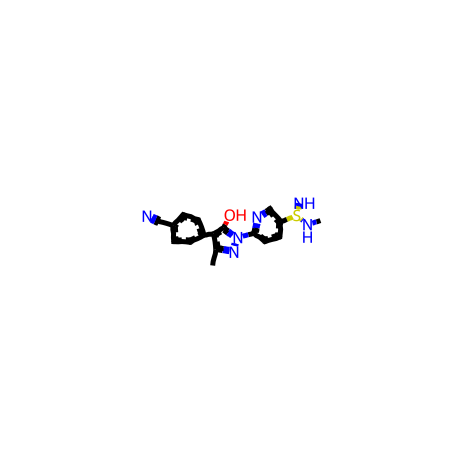 CNS(=N)c1ccc(-n2nc(C)c(-c3ccc(C#N)cc3)c2O)nc1